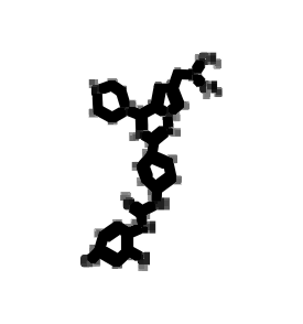 CN(C)Cc1cc2c(N3CCOCC3)nc(-c3ccc(NC(=O)Nc4ccc(Cl)cc4Cl)cc3)nn2c1